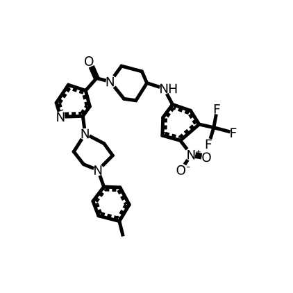 Cc1ccc(N2CCN(c3cc(C(=O)N4CCC(Nc5ccc([N+](=O)[O-])c(C(F)(F)F)c5)CC4)ccn3)CC2)cc1